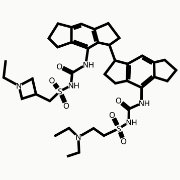 CCN(CC)CCS(=O)(=O)NC(=O)Nc1c2c(cc3c1CCC3C1CCc3cc4c(c(NC(=O)NS(=O)(=O)CC5CN(CC)C5)c31)CCC4)CCC2